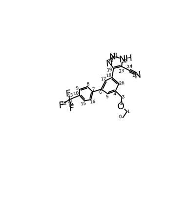 CCOCc1cc(-c2ccc(C(F)(F)F)cc2)cc(-c2nn[nH]c2C#N)c1